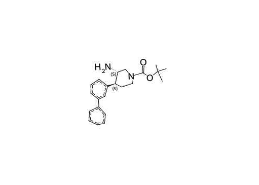 CC(C)(C)OC(=O)N1CC[C@@H](c2cccc(-c3ccccc3)c2)[C@H](N)C1